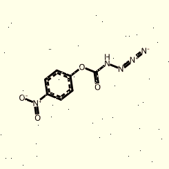 [N-]=[N+]=NNC(=O)Oc1ccc([N+](=O)[O-])cc1